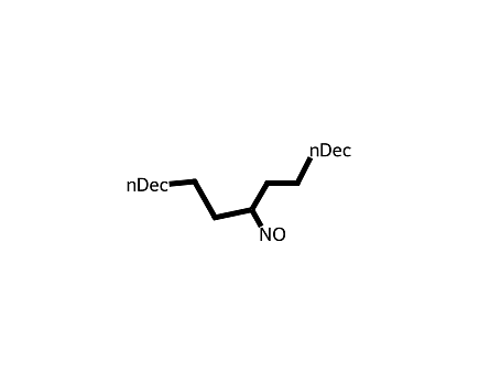 CCCCCCCCCCCCC(CCCCCCCCCCCC)N=O